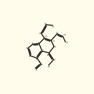 C=Cc1cccc2c1/C(=C\C)CC(/C=C\C)=C2/C=C\C